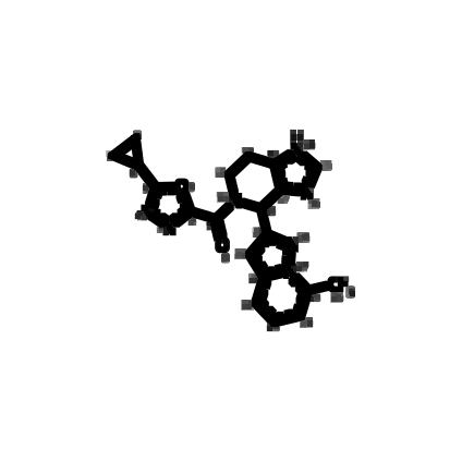 O=C(c1nnc(C2CC2)o1)N1CCc2[nH]cnc2C1c1cc2cccc(C(F)(F)F)n2n1